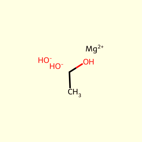 CCO.[Mg+2].[OH-].[OH-]